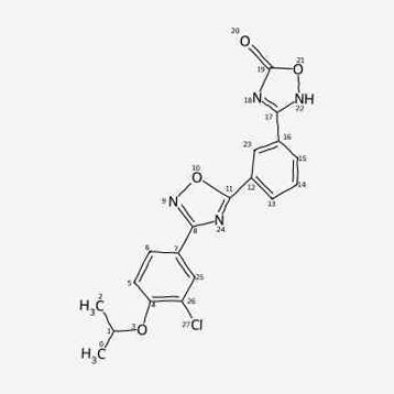 CC(C)Oc1ccc(-c2noc(-c3cccc(-c4nc(=O)o[nH]4)c3)n2)cc1Cl